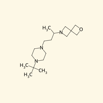 CC(CCN1CCN(C(C)(C)C)CC1)N1CC2(COC2)C1